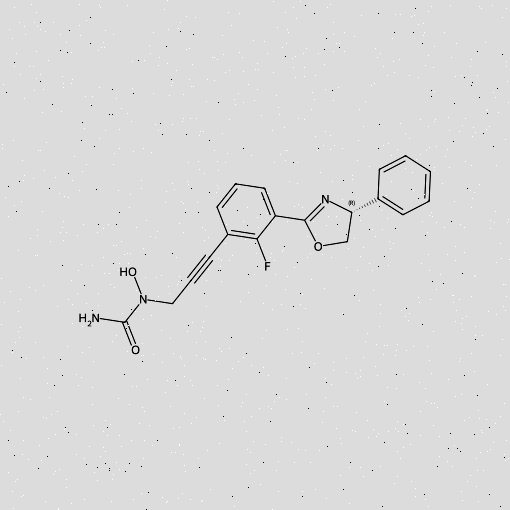 NC(=O)N(O)CC#Cc1cccc(C2=N[C@H](c3ccccc3)CO2)c1F